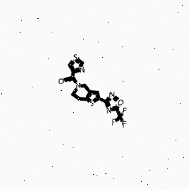 O=C(c1cscn1)N1CCc2sc(-c3noc(C(F)(F)F)n3)cc2C1